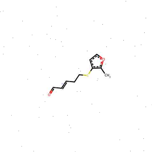 Cc1occc1SCC/C=C/C=O